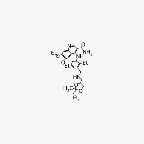 CCOc1cc2ncc(C(N)=O)c(Nc3cccc(CNCC4COC(C)(C)O4)c3CC)c2cc1OCC